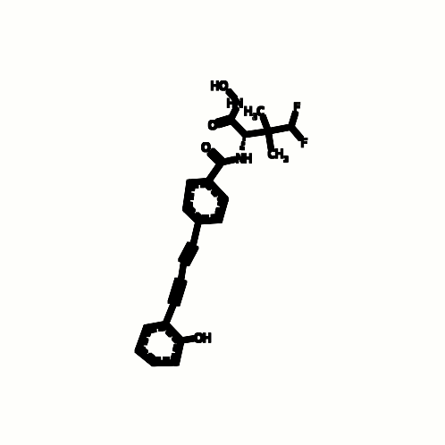 CC(C)(C(F)F)[C@H](NC(=O)c1ccc(C#CC#Cc2ccccc2O)cc1)C(=O)NO